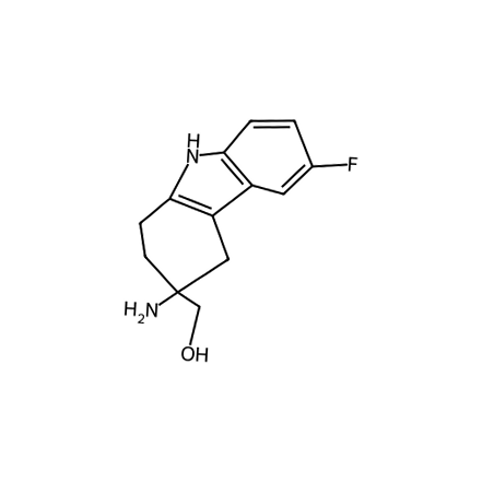 NC1(CO)CCc2[nH]c3ccc(F)cc3c2C1